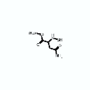 CCCCCCNC(=O)C(CC(N)=O)NS